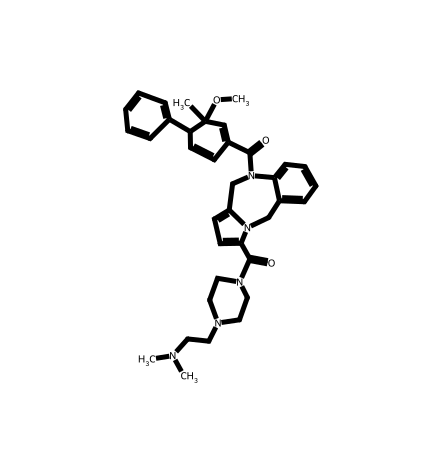 COC1(C)C=C(C(=O)N2Cc3ccc(C(=O)N4CCN(CCN(C)C)CC4)n3Cc3ccccc32)C=CC1c1ccccc1